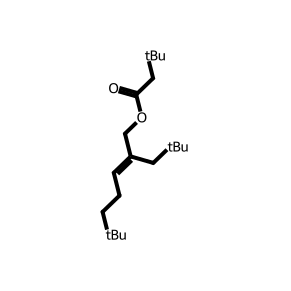 CC(C)(C)CCC=C(COC(=O)CC(C)(C)C)CC(C)(C)C